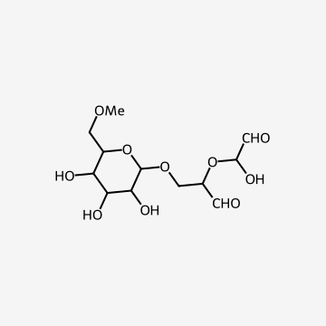 COCC1OC(OCC(C=O)OC(O)C=O)C(O)C(O)C1O